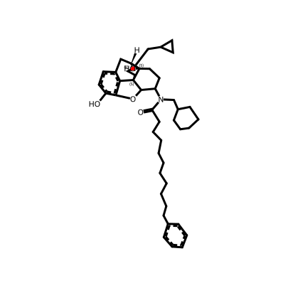 O=C(CCCCCCCCCCc1ccccc1)N(CC1CCCCC1)C1CC[C@@]2(O)[C@H]3Cc4ccc(O)c5c4[C@@]2(CCN3CC2CC2)C1O5